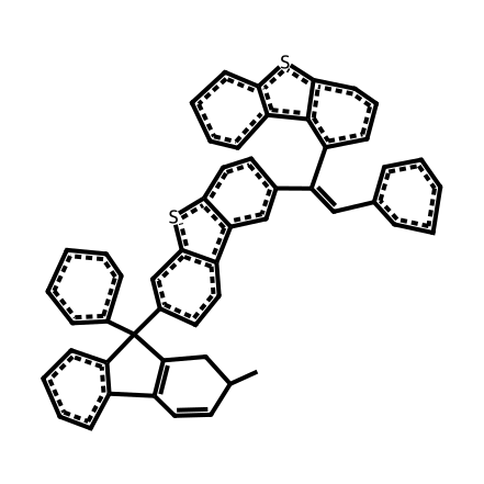 CC1C=CC2=C(C1)C(c1ccccc1)(c1ccc3c(c1)sc1ccc(/C(=C/c4ccccc4)c4cccc5sc6ccccc6c45)cc13)c1ccccc12